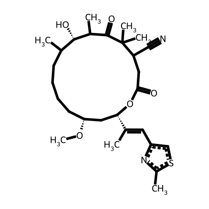 CO[C@@H]1CCCCC(C)[C@H](O)C(C)C(=O)C(C)(C)C(C#N)CC(=O)O[C@H](/C(C)=C/c2csc(C)n2)C1